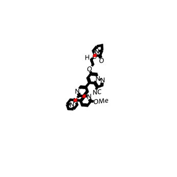 COc1ccc(CN2C3CC2CN(c2ccc(-c4cc(OCCN5CC6CC(C5=O)N6C)cn5ncc(C#N)c45)cn2)C3)cn1